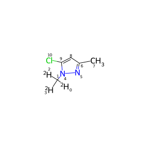 [2H]C([2H])([2H])n1nc(C)cc1Cl